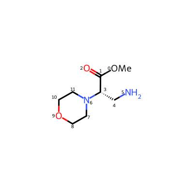 COC(=O)[C@H](CN)N1CCOCC1